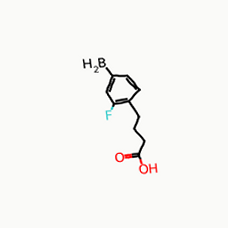 Bc1ccc(CCCC(=O)O)c(F)c1